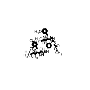 CCOC(=O)CSc1nnc(-c2cc(C(C)(C)C)nn2Cc2cccc(C)c2)n1C1CCCCC1.Cc1c(-c2cc(C(C)(C)C)nn2Cc2ccc(Cl)cc2Cl)nnn1S